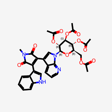 CC(=O)OC[C@H]1O[C@@H](n2cc(C3=C(c4c[nH]c5ccccc45)C(=O)N(C)C3=O)c3cccnc32)[C@H](OC(C)=O)[C@@H](OC(C)=O)[C@@H]1OC(C)=O